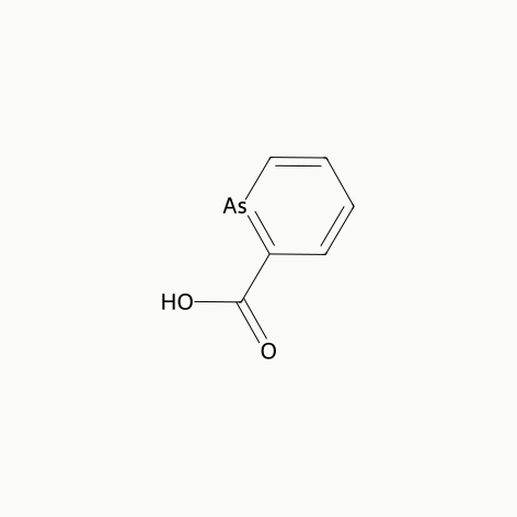 O=C(O)C1=[As]C=CC=C1